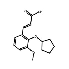 COc1cccc(C=CC(=O)O)c1OC1CCCC1